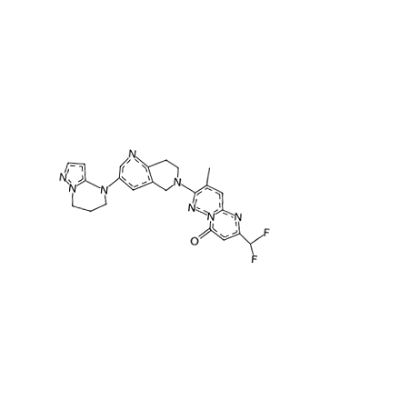 Cc1cc2nc(C(F)F)cc(=O)n2nc1N1CCc2ncc(N3CCCn4nccc43)cc2C1